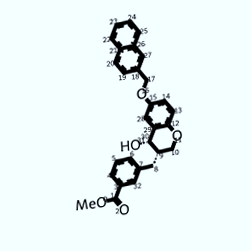 COC(=O)c1cccc(C[C@H]2COc3ccc(OCc4ccc5ccccc5c4)cc3[C@H]2O)c1